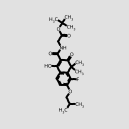 CC(C)COc1ccc2c(c1F)C(C)(C)C(=O)C(C(=O)NCC(=O)OC(C)(C)C)=C2O